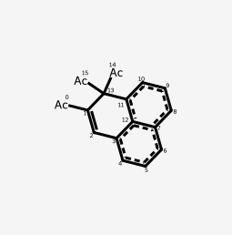 CC(=O)C1=Cc2cccc3cccc(c23)C1(C(C)=O)C(C)=O